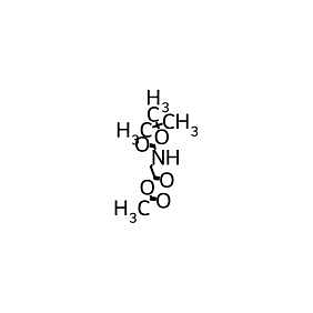 CC(=O)OC(=O)CNC(=O)OC(C)(C)C